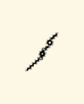 CCCCCCCCCCOc1ccc(OC/C=C/[C@H]2CC[C@H](CCCCC)CC2)cc1